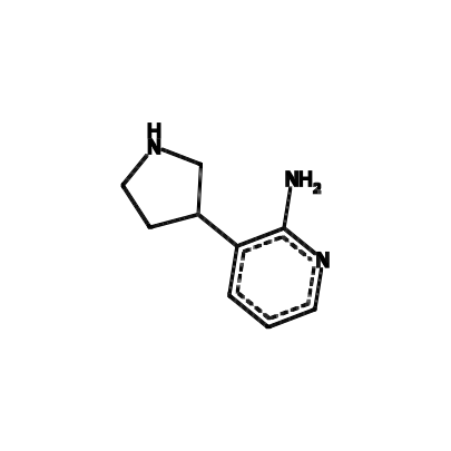 Nc1ncccc1C1CCNC1